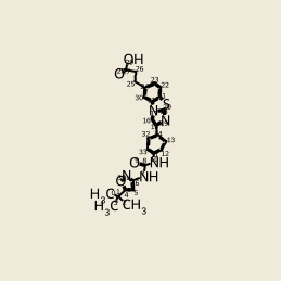 CC(C)(C)c1cc(NC(=O)Nc2ccc(-c3cn4c(n3)sc3ccc(CCC(=O)O)cc34)cc2)no1